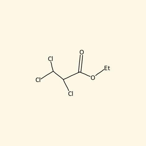 CCOC(=O)C(Cl)C(Cl)Cl